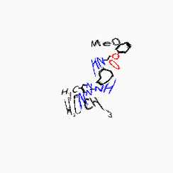 COc1cccc(OCC(=O)N[C@H]2CC[C@@H](Nc3ncc(C)c(N(C)C)n3)CC2)c1